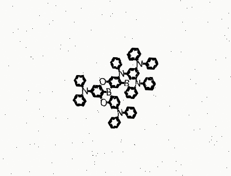 c1ccc(N(c2ccccc2)c2ccc3c(c2)Oc2cc(N(c4ccccc4)c4ccccc4)cc4c2B3c2cc3c(cc2O4)N(c2ccccc2)c2cc(N(c4ccccc4)c4ccccc4)cc4c2B3c2ccccc2N4c2ccccc2)cc1